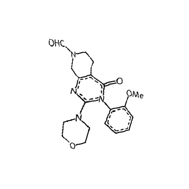 COc1ccccc1-n1c(N2CCOCC2)nc2c(c1=O)CCN(C=O)C2